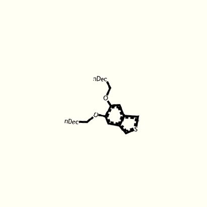 CCCCCCCCCCCOc1cc2cscc2cc1OCCCCCCCCCCC